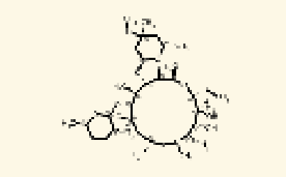 CC[C@H]1OC(=O)[C@H](C)[C@@H](O[C@H]2C[C@@](C)(OC)C[C@H](C)O2)[C@H](C)[C@@H](O[C@@H]2O[C@H](C)CC[C@H]2O)[C@](C)(O)C[C@@H](C)CN(C)[C@H](C)[C@@H](O)[C@]1(C)O